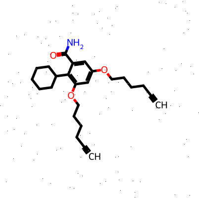 C#CCCCCOc1cc(OCCCCC#C)c(C2CCCCC2)c(C(N)=O)c1